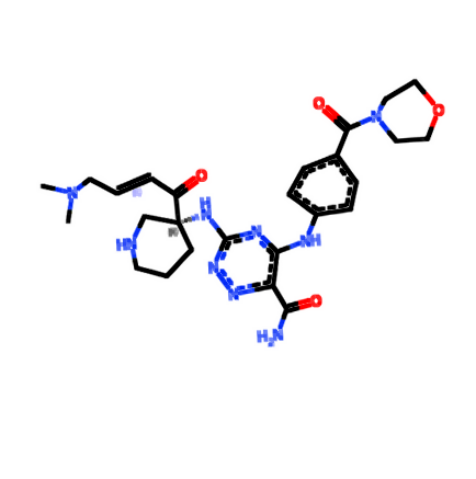 CN(C)C/C=C/C(=O)[C@@]1(Nc2nnc(C(N)=O)c(Nc3ccc(C(=O)N4CCOCC4)cc3)n2)CCCNC1